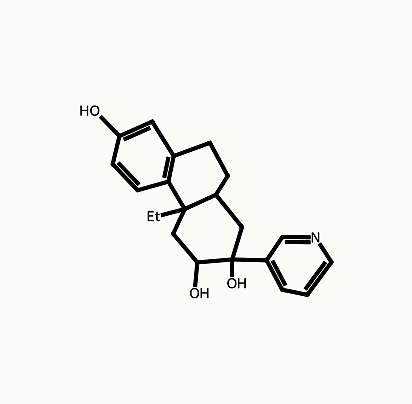 CCC12CC(O)C(O)(c3cccnc3)CC1CCc1cc(O)ccc12